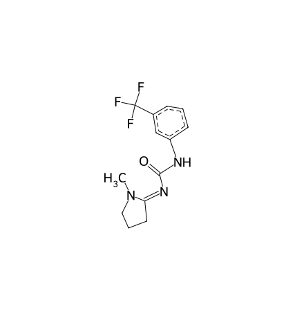 CN1CCCC1=NC(=O)Nc1cccc(C(F)(F)F)c1